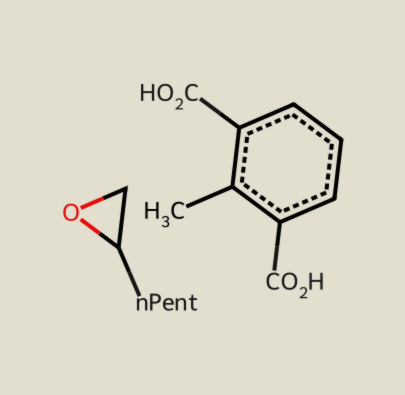 CCCCCC1CO1.Cc1c(C(=O)O)cccc1C(=O)O